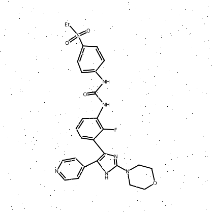 CCS(=O)(=O)c1ccc(NC(=O)Nc2cccc(-c3nc(N4CCOCC4)[nH]c3-c3ccncc3)c2F)cc1